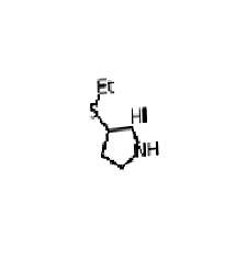 CCSC1CCNC1.I